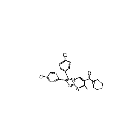 Cc1nc2nc(-c3ccc(Cl)cc3)c(-c3ccc(Cl)cc3)n2cc1C(=O)N1CCCCC1